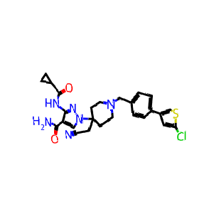 N#CCC1(n2cc(C(N)=O)c(NC(=O)C3CC3)n2)CCN(Cc2ccc(-c3csc(Cl)c3)cc2)CC1